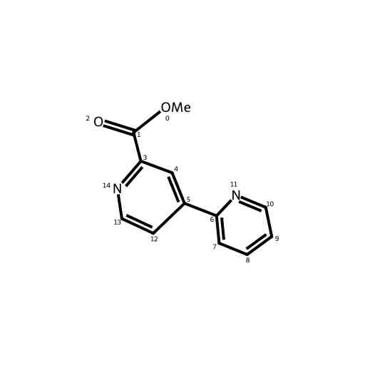 COC(=O)c1cc(-c2ccccn2)ccn1